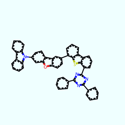 c1ccc(-c2nc(-c3ccccc3)nc(-c3cccc4c3sc3c(-c5ccc6oc7cc(-n8c9ccccc9c9ccccc98)ccc7c6c5)cccc34)n2)cc1